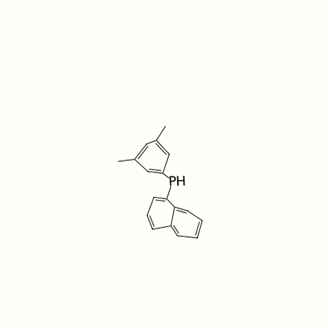 Cc1cc(C)cc(Pc2cccc3ccccc23)c1